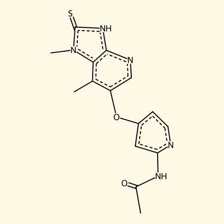 CC(=O)Nc1cc(Oc2cnc3[nH]c(=S)n(C)c3c2C)ccn1